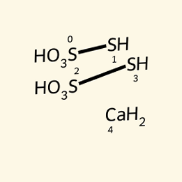 O=S(=O)(O)S.O=S(=O)(O)S.[CaH2]